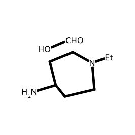 CCN1CCC(N)CC1.O=CO